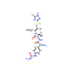 Cc1nc(SCC2=C(C(=O)O)N3C(=O)C(NC(=O)C(N)c4ccc(NC(N)=O)cc4)[C@H]3SC2)n[nH]1